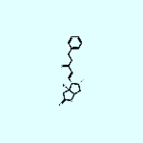 C[C@@H]1CC2OC(=O)C[C@@H]2[C@H]1/C=C/C(=O)CCc1ccccc1